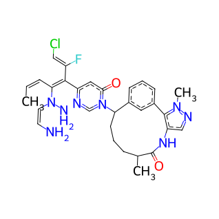 C\C=C/C(=C(\C(F)=C\Cl)c1cc(=O)n(C2CCCC(C)C(=O)Nc3cnn(C)c3-c3cccc2c3)cn1)N(N)/C=C\N